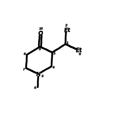 CCC(CC)C1CN(C)CCC1=O